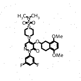 COc1ccc(OC)c2c1CCC(Oc1c(N3CCN(S(=O)(=O)N(C)C)CC3)cnn(-c3cc(F)cc(F)c3)c1=O)C2